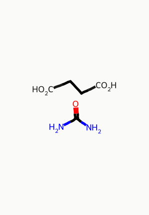 NC(N)=O.O=C(O)CCC(=O)O